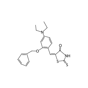 CCN(CC)c1ccc(C=C2SC(=S)NC2=O)c(OCc2ccccc2)c1